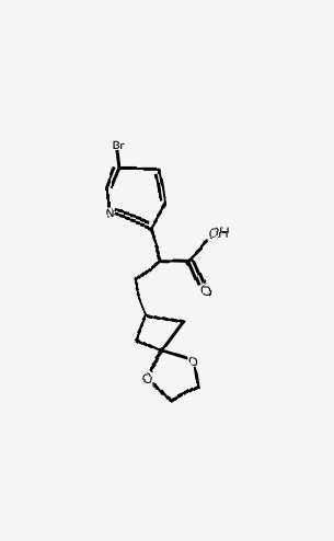 O=C(O)C(CC1CC2(C1)OCCO2)c1ccc(Br)cn1